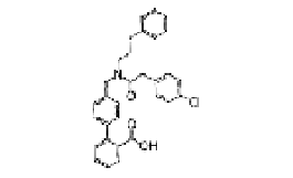 O=C(O)c1ccccc1-c1ccc(CN(CCCc2ccccc2)C(=O)Cc2ccc(Cl)cc2)cc1